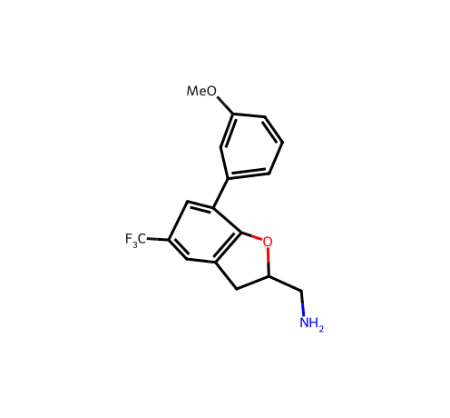 COc1cccc(-c2cc(C(F)(F)F)cc3c2OC(CN)C3)c1